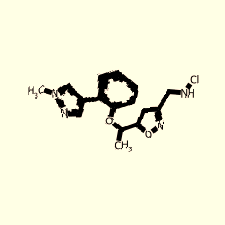 CC(Oc1ccccc1-c1cnn(C)c1)C1CC(CNCl)=NO1